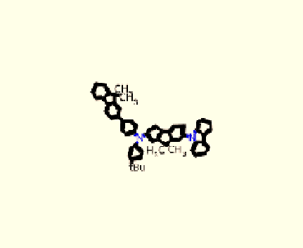 CC(C)(C)c1ccc(N(c2ccc(-c3ccc4c(c3)C(C)(C)c3ccccc3-4)cc2)c2ccc3c(c2)C(C)(C)c2cc(-n4c5ccccc5c5ccccc54)ccc2-3)cc1